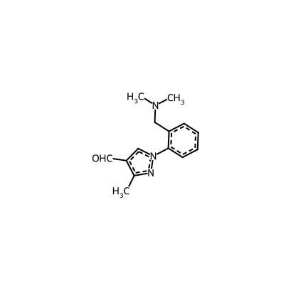 Cc1nn(-c2ccccc2CN(C)C)cc1C=O